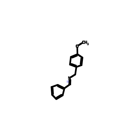 COc1ccc(C/N=C/c2ccccc2)cc1